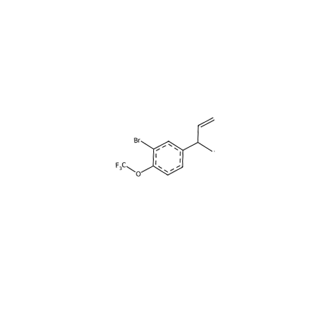 [CH2]C(C=C)c1ccc(OC(F)(F)F)c(Br)c1